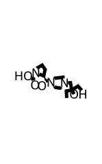 CCC(O)(CC)CN1CCN(C(=O)[C@@H]2CCCN2C(=O)O)CC1